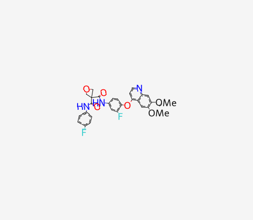 COc1cc2nccc(Oc3ccc(NC(=O)C4(C(=O)Nc5ccc(F)cc5)COC4)cc3F)c2cc1OC